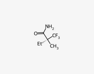 CC[C@](C)(C(N)=O)C(F)(F)F